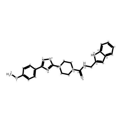 COc1ccc(-c2noc(N3CCN(C(=O)NCc4cc5ccccc5[nH]4)CC3)n2)cc1